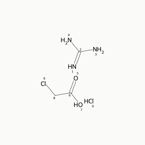 Cl.N=C(N)N.O=C(O)CCl